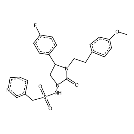 COc1ccc(CCN2C(=O)N(NS(=O)(=O)Cc3cccnc3)CC2c2ccc(F)cc2)cc1